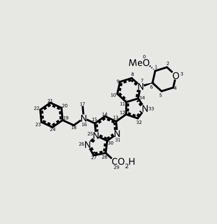 CO[C@@H]1COCC[C@H]1n1cccc2c(-c3cc(N(C)Cc4ccccc4)n4ncc(C(=O)O)c4n3)cnc1-2